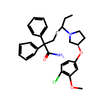 CCC(CCC(C(N)=O)(c1ccccc1)c1ccccc1)N1CC[C@@H](Oc2ccc(Cl)c(OC)c2)C1